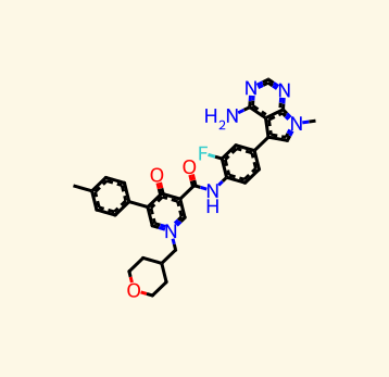 Cc1ccc(-c2cn(CC3CCOCC3)cc(C(=O)Nc3ccc(-c4cn(C)c5ncnc(N)c45)cc3F)c2=O)cc1